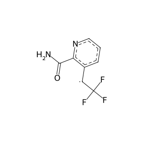 NC(=O)c1ncccc1[CH]C(F)(F)F